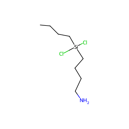 CCCC[Si](Cl)(Cl)CCCCN